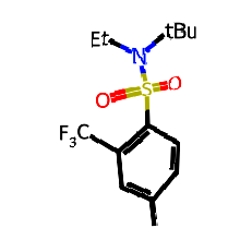 CCN(C(C)(C)C)S(=O)(=O)c1ccc(C)cc1C(F)(F)F